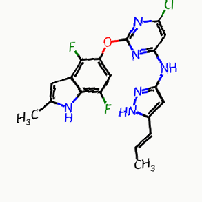 CC=Cc1cc(Nc2cc(Cl)nc(Oc3cc(F)c4[nH]c(C)cc4c3F)n2)n[nH]1